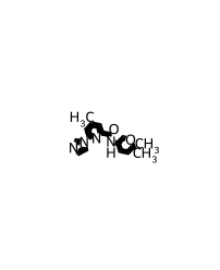 Cc1cc(C(=O)NC2CCC(C)(C)OC2)nc(-n2ccnc2)c1